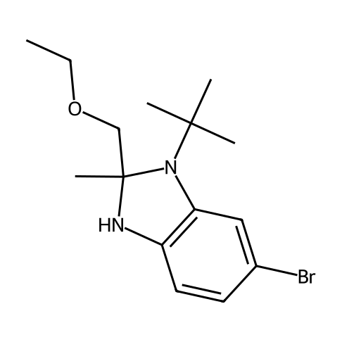 CCOCC1(C)Nc2ccc(Br)cc2N1C(C)(C)C